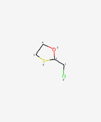 ClCC1OCCS1